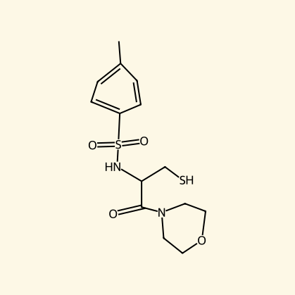 Cc1ccc(S(=O)(=O)NC(CS)C(=O)N2CCOCC2)cc1